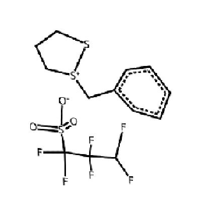 O=S(=O)([O-])C(F)(F)C(F)(F)C(F)F.c1ccc(C[S+]2CCCS2)cc1